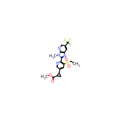 CCS(=O)(=O)c1cc(C2CC2C(=O)OC)cnc1-c1nc2cc(C(F)(F)F)cnc2n1C